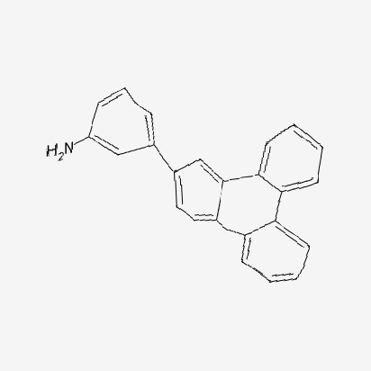 Nc1cccc(-c2ccc3c4ccccc4c4ccccc4c3c2)c1